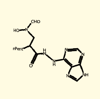 CCCCCC(CN(O)C=O)C(=O)NNc1ncnc2[nH]cnc12